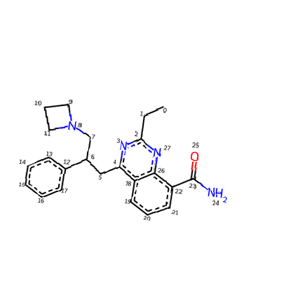 CCc1nc(CC(CN2CCC2)c2ccccc2)c2cccc(C(N)=O)c2n1